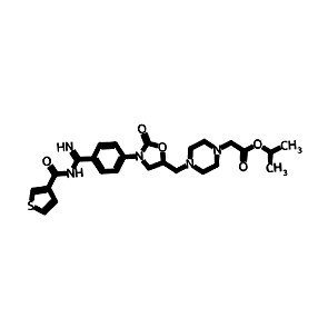 CC(C)OC(=O)CN1CCN(CC2CN(c3ccc(C(=N)NC(=O)c4ccsc4)cc3)C(=O)O2)CC1